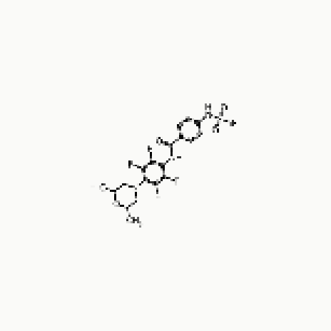 CC1CN(c2c(F)c(F)c(NC(=O)c3ccc(NS(=O)(=O)C(C)C)cc3)c(F)c2F)CC(C)O1